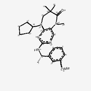 COc1cccc([C@H](C)Nc2ncc3c(n2)N(C2CCCC2)CC(C)(C)C(=O)N3C)c1